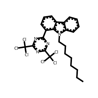 CCCCCCCCn1c2ccccc2c2cccc(-c3nc(C(Cl)(Cl)Cl)nc(C(Cl)(Cl)Cl)n3)c21